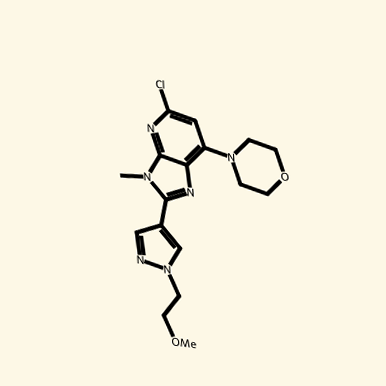 COCCn1cc(-c2nc3c(N4CCOCC4)cc(Cl)nc3n2C)cn1